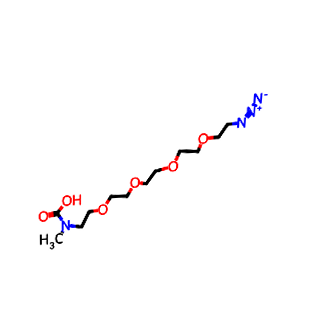 CN(CCOCCOCCOCCOCCN=[N+]=[N-])C(=O)O